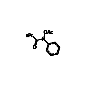 CCCC(=O)N(OC(C)=O)c1ccccc1